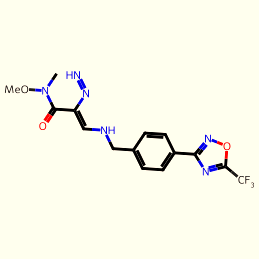 CON(C)C(=O)/C(=C/NCc1ccc(-c2noc(C(F)(F)F)n2)cc1)N=N